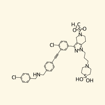 CS(=O)(=O)N1CCc2c(c(-c3ccc(Cl)c(C#Cc4ccc(CNCc5ccc(Cl)cc5)cc4)c3)nn2CCCN2CCS(O)(O)CC2)C1